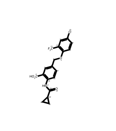 O=C(O)c1cc(COc2ccc(Cl)cc2C(F)(F)F)ccc1NC(=O)C1CC1